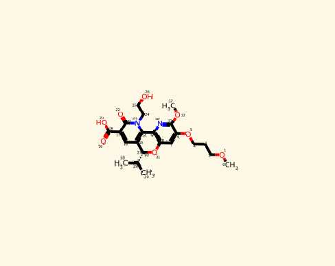 COCCCOc1cc2c(nc1OC)-c1c(cc(C(=O)O)c(=O)n1CCO)[C@@H](C(C)C)O2